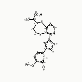 CC(C)Oc1ccc(-c2nc(-c3cccc4c3CCCN(C(C(=O)O)C(C)(C)C)C4)no2)cc1Cl